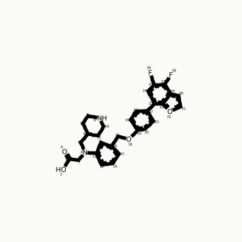 O=C(O)CN(CC1CCNCC1)c1cccc(COc2ccc(-c3cc(F)c(F)c4ccoc34)cc2)c1